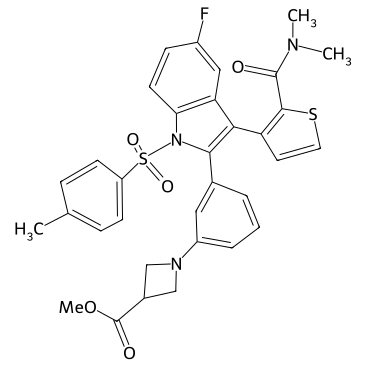 COC(=O)C1CN(c2cccc(-c3c(-c4ccsc4C(=O)N(C)C)c4cc(F)ccc4n3S(=O)(=O)c3ccc(C)cc3)c2)C1